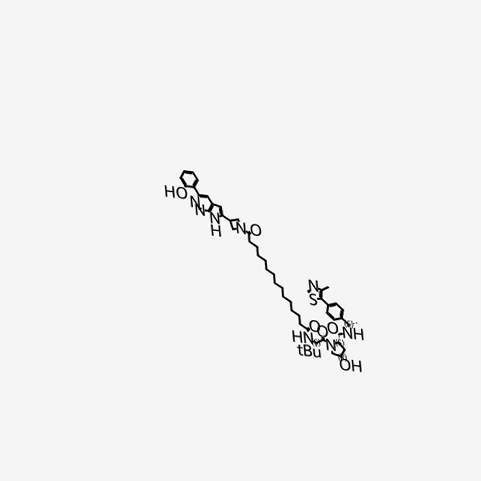 Cc1ncsc1-c1ccc([C@H](C)NC(=O)[C@@H]2C[C@@H](O)CN2C(=O)[C@@H](NC(=O)CCCCCCCCCCCCCC(=O)N2CC(c3cc4cc(-c5ccccc5O)nnc4[nH]3)C2)C(C)(C)C)cc1